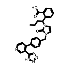 CCCC(c1ccccc1C(=O)O)n1ccn(Cc2ccc(-c3ccncc3-c3nnn[nH]3)cc2)c1=O